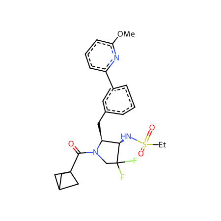 CCS(=O)(=O)N[C@@H]1[C@H](Cc2cccc(-c3cccc(OC)n3)c2)N(C(=O)C23CC(C2)C3)CC1(F)F